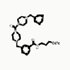 COCCCNC(=O)c1cccc(CN2CCN(C(=O)N3CCN(Cc4ccccc4)CC3)CC2)c1